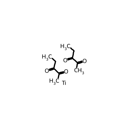 CCC(=O)C(C)=O.CCC(=O)C(C)=O.[Ti]